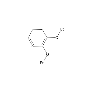 CCOc1[c]cccc1OCC